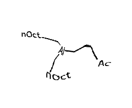 CCCCCCC[CH2][Al]([CH2]CCCCCCC)[CH2]C(C)=O